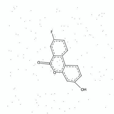 O=c1oc2cc(O)ccc2c2ccc(F)cc12